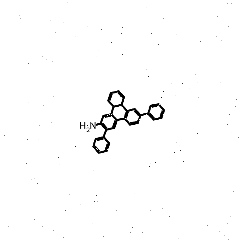 Nc1cc2c(cc1-c1ccccc1)-c1ccc(-c3ccccc3)cc1C1C=CC=CC21